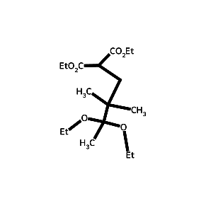 CCOC(=O)C(CC(C)(C)C(C)(OCC)OCC)C(=O)OCC